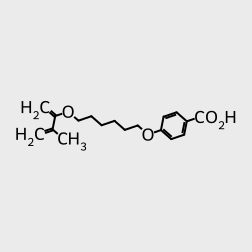 C=C(C)C(=C)OCCCCCCOc1ccc(C(=O)O)cc1